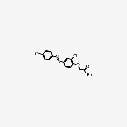 CC(C)(C)C(=O)COc1ccc(N=Nc2ccc(Cl)cc2)cc1Cl